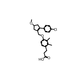 COC1CC(COc2ccc(CCC(=O)O)c(C)c2C)=C(c2ccc(Cl)cc2)C1